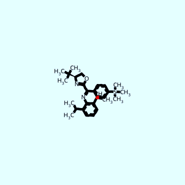 CC(C)c1cccc(C(C)C)c1/N=C(/C1=N[C@@H](C(C)(C)C)CO1)c1ccc(S(C)(C)C)cc1